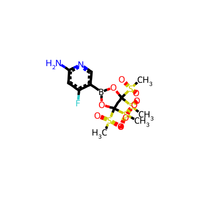 CS(=O)(=O)C1(S(C)(=O)=O)OB(c2cnc(N)cc2F)OC1(S(C)(=O)=O)S(C)(=O)=O